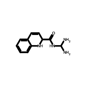 NC(N)NC(=O)C1C=Cc2ccccc2N1